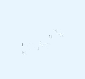 Cc1cnc2n1CCN(C(=O)C[C@H](N)Cc1cc(F)c(Br)cc1F)C2